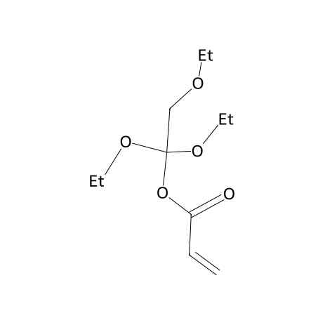 C=CC(=O)OC(COCC)(OCC)OCC